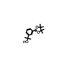 CC(C)(O)c1cccc(B2OC(C)(C)C(C)(C)O2)c1